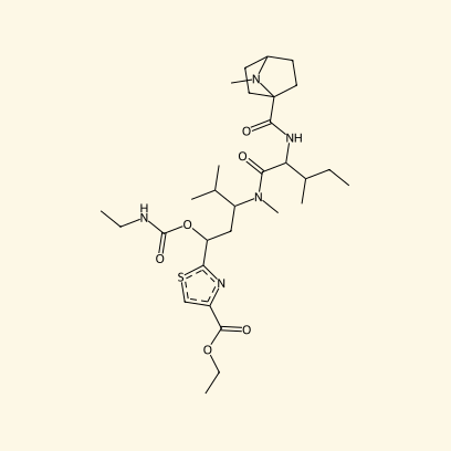 CCNC(=O)OC(CC(C(C)C)N(C)C(=O)C(NC(=O)C12CCC(CC1)N2C)C(C)CC)c1nc(C(=O)OCC)cs1